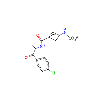 CC(NC(=O)C12CC(NC(=O)O)(C1)C2)C(=O)c1ccc(Cl)cc1